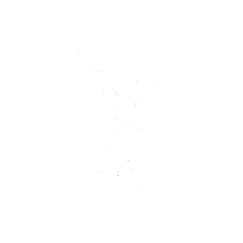 C=C1/C=C\C=C/Cc2ccc(N(c3ccc(-c4ccccc4)cc3)c3cccc(-c4cccc(-c5ccc6c(c5)c5ccccc5n6-c5ccccc5)c4)c3)cc2C1(C)C